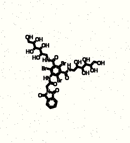 O=C(CN1C(=O)c2ccccc2C1=O)Nc1c(Br)c(C(=O)NCC(O)C(O)C(O)C(O)CO)c(Br)c(C(=O)NCC(O)C(O)C(O)C(O)CO)c1Br